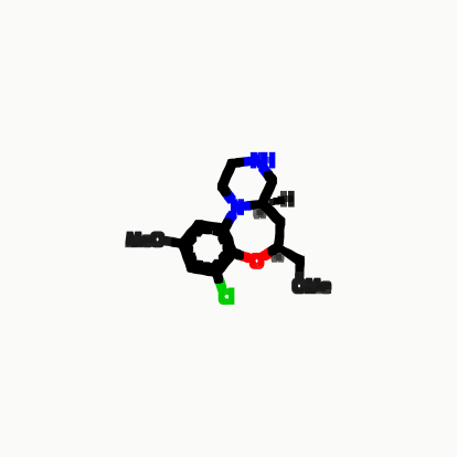 COC[C@@H]1C[C@@H]2CNCCN2c2cc(OC)cc(Cl)c2O1